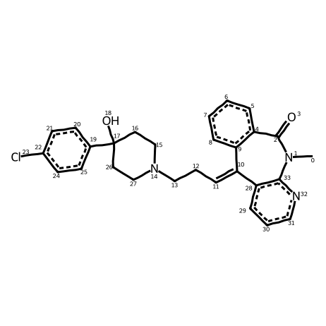 CN1C(=O)c2ccccc2C(=CCCN2CCC(O)(c3ccc(Cl)cc3)CC2)c2cccnc21